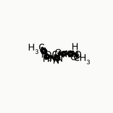 Cc1ccc([C@@H]2CCCC(CNc3ncnc(C(=O)N4CCC(N5CCC(NS(C)(=O)=O)CC5)CC4)c3C)O2)cc1